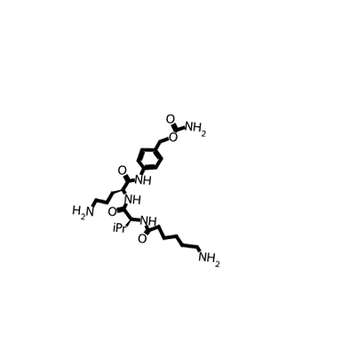 CC(C)[C@H](NC(=O)CCCCCN)C(=O)N[C@@H](CCCN)C(=O)Nc1ccc(COC(N)=O)cc1